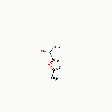 O=C(O)c1ccc(C(O)C(=O)O)o1